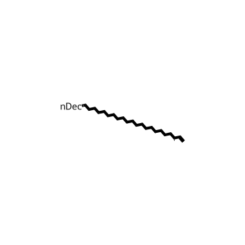 C=C[CH]CCCCCCCCCCCCCCCCCCCCCCCCCCCCC